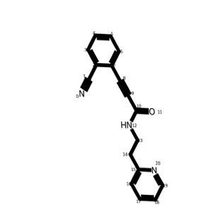 N#Cc1ccccc1C#CC(=O)NCCc1ccccn1